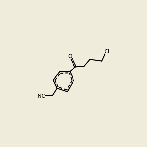 N#CCc1ccc(C(=O)CCCCl)cc1